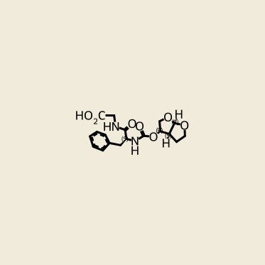 O=C(O)CNC(=O)[C@H](Cc1ccccc1)NC(=O)O[C@H]1CO[C@H]2OCC[C@H]21